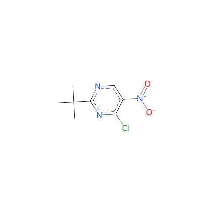 CC(C)(C)c1ncc([N+](=O)[O-])c(Cl)n1